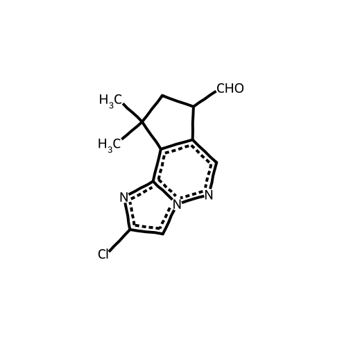 CC1(C)CC(C=O)c2cnn3cc(Cl)nc3c21